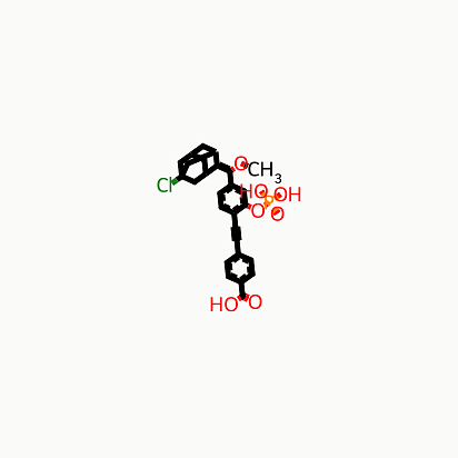 COC(=C1C2CC3CC1CC(Cl)(C3)C2)c1ccc(C#Cc2ccc(C(=O)O)cc2)c(OP(=O)(O)O)c1